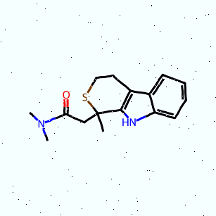 CN(C)C(=O)CC1(C)SCCc2c1[nH]c1ccccc21